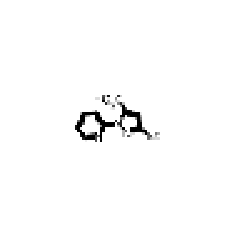 CCc1cc(C(=O)O)n(-c2ccccn2)n1